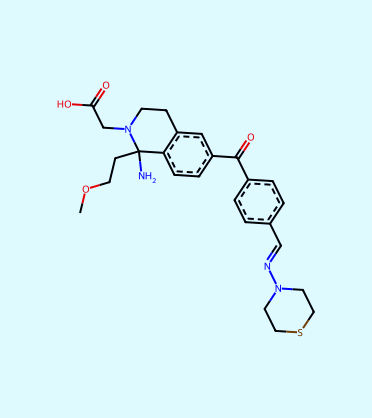 COCCC1(N)c2ccc(C(=O)c3ccc(C=NN4CCSCC4)cc3)cc2CCN1CC(=O)O